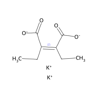 CC/C(C(=O)[O-])=C(\CC)C(=O)[O-].[K+].[K+]